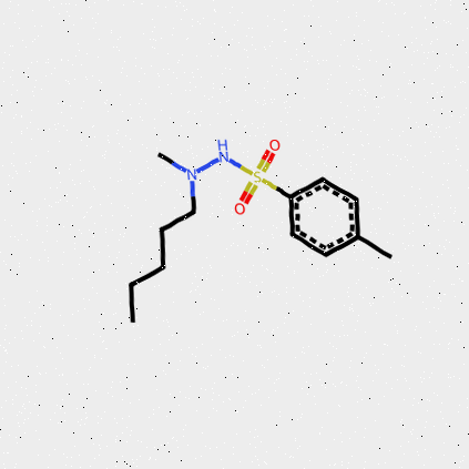 CCCCCN(C)NS(=O)(=O)c1ccc(C)cc1